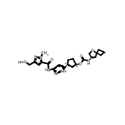 COCc1cc(C(=O)Nc2cc([C@H]3CC[C@@H](OC(=O)N[C@H]4COC5(CCC5)C4)C3)[nH]n2)n(C)n1